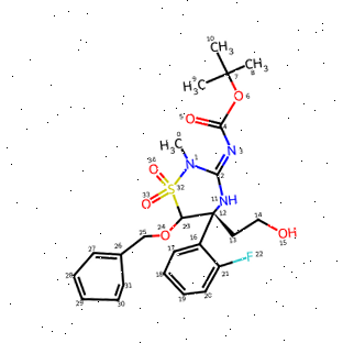 CN1/C(=N\C(=O)OC(C)(C)C)N[C@](CCO)(c2ccccc2F)C(OCc2ccccc2)S1(=O)=O